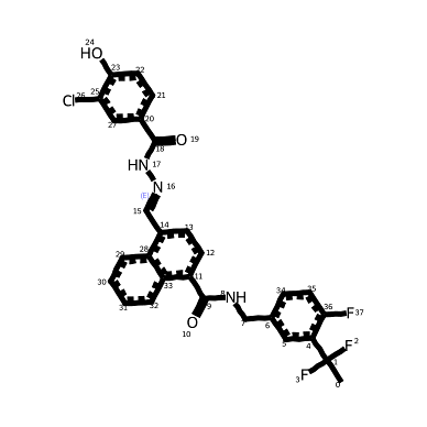 CC(F)(F)c1cc(CNC(=O)c2ccc(/C=N/NC(=O)c3ccc(O)c(Cl)c3)c3ccccc23)ccc1F